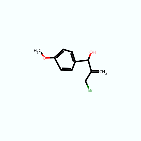 C=C(CBr)C(O)c1ccc(OC)cc1